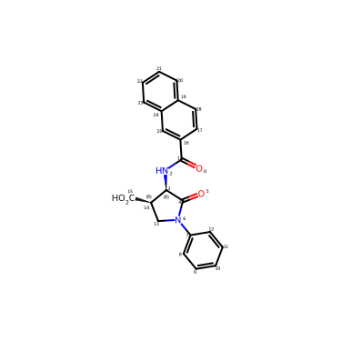 O=C(N[C@H]1C(=O)N(c2ccccc2)C[C@H]1C(=O)O)c1ccc2ccccc2c1